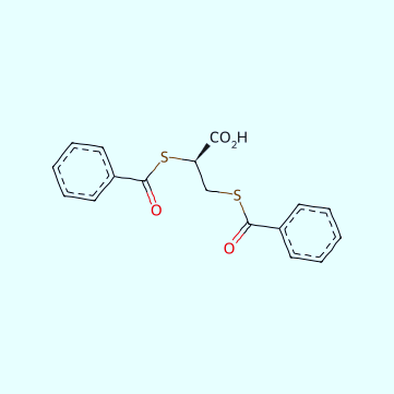 O=C(SC[C@@H](SC(=O)c1ccccc1)C(=O)O)c1ccccc1